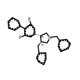 Fc1cc([C@@H]2CN(Cc3ccccc3)C[C@H]2Cc2ccccc2)cc(F)c1-c1ccccc1